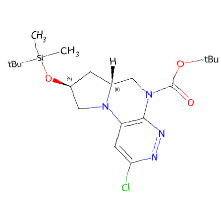 CC(C)(C)OC(=O)N1C[C@H]2C[C@H](O[Si](C)(C)C(C)(C)C)CN2c2cc(Cl)nnc21